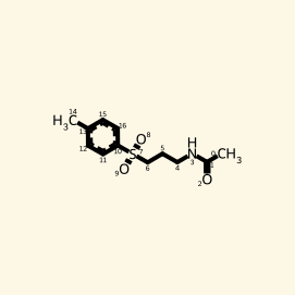 CC(=O)NCCCS(=O)(=O)c1ccc(C)cc1